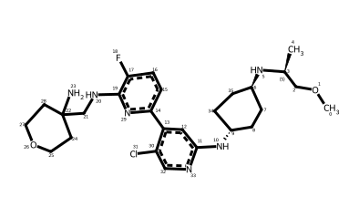 COC[C@H](C)N[C@H]1CC[C@H](Nc2cc(-c3ccc(F)c(NCC4(N)CCOCC4)n3)c(Cl)cn2)CC1